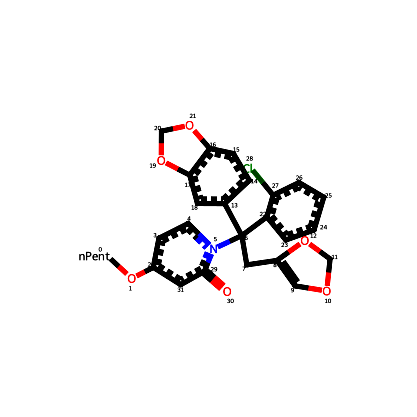 CCCCCOc1ccn(C(CC2=COCO2)(c2ccc3c(c2)OCO3)c2ccccc2Cl)c(=O)c1